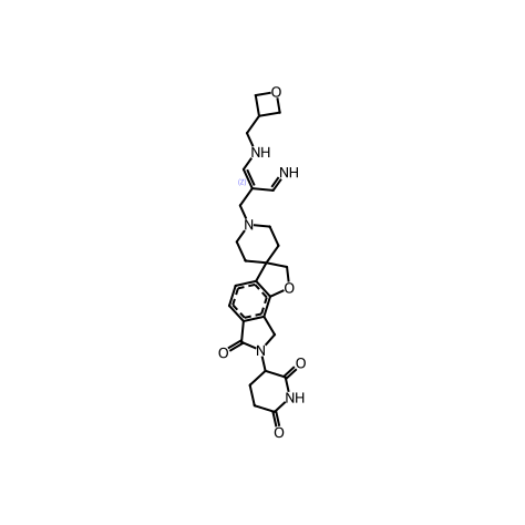 N=C/C(=C\NCC1COC1)CN1CCC2(CC1)COc1c2ccc2c1CN(C1CCC(=O)NC1=O)C2=O